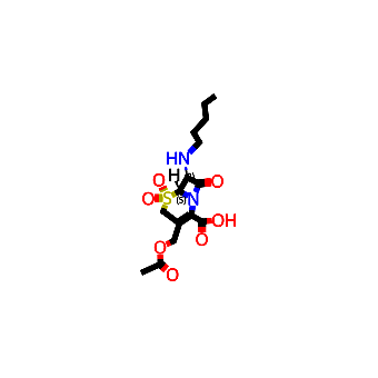 CCCCCN[C@@H]1C(=O)N2C(C(=O)O)=C(COC(C)=O)CS(=O)(=O)[C@@H]12